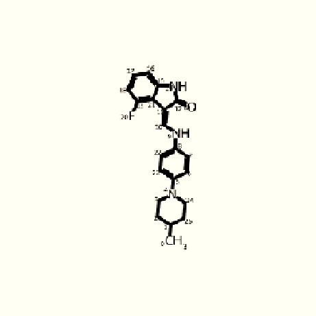 CC1CCN(c2ccc(NC=C3C(=O)Nc4cccc(F)c43)cc2)CC1